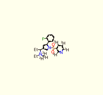 [2H]c1nc([2H])c(S(=O)(=O)n2cc(C(CC)N(CC)C([2H])([2H])[2H])cc2-c2ccccc2F)c([2H])c1[2H]